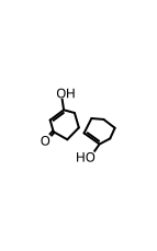 O=C1C=C(O)CCC1.OC1=CCCCC1